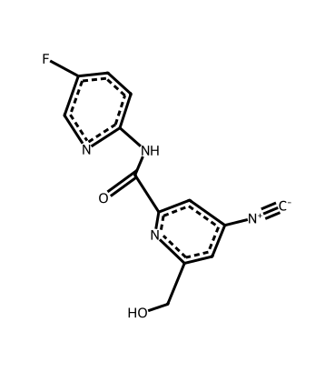 [C-]#[N+]c1cc(CO)nc(C(=O)Nc2ccc(F)cn2)c1